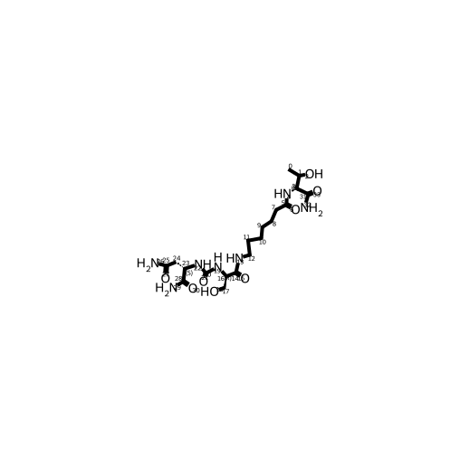 CC(O)[C@@H](NC(=O)CCCCCCNC(=O)[C@@H](CO)NC(=O)N[C@@H](CC(N)=O)C(N)=O)C(N)=O